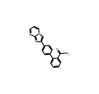 NC(=O)c1ccccc1-c1ccc(-c2cn3cccnc3n2)cc1